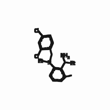 CCC(N)c1c(C)cccc1N(CC)Cc1ccc(Cl)cc1Cl